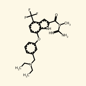 CCN(CC)Cc1cccc(Oc2ccc(C(F)(F)F)c3cc(C(=O)N(C)C(=N)N)[nH]c23)c1